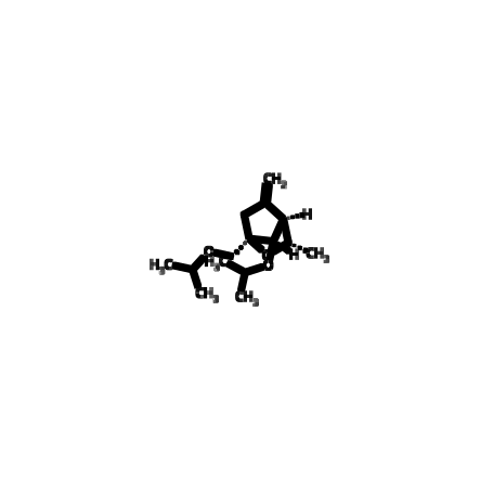 C=C1C[C@]2(COC(C)C)O[C@@H](C)[C@H]1[C@@H]2OC(C)C